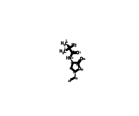 CCC(C)(C)C(=O)N[C@H]1C[C@@H](CI)OC1=O